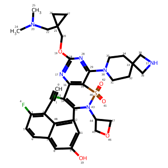 C#Cc1c(F)ccc2cc(O)cc(C3=C(F)c4nc(OCC5(CN(C)C)CC5)nc(N5CCC6(CC5)CNC6)c4S(=O)(=O)N3C3COC3)c12